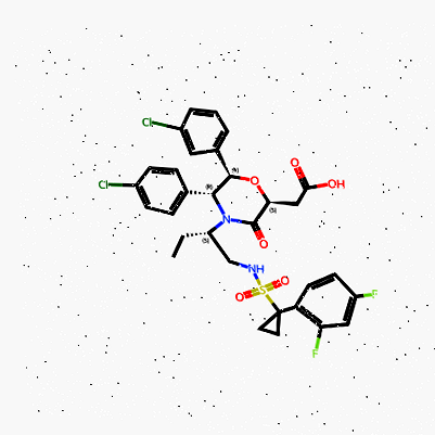 CC[C@@H](CNS(=O)(=O)C1(c2ccc(F)cc2F)CC1)N1C(=O)[C@H](CC(=O)O)O[C@H](c2cccc(Cl)c2)[C@H]1c1ccc(Cl)cc1